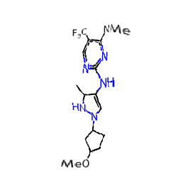 CNc1nc(NC2=CN(C3CCC(OC)C3)NC2C)ncc1C(F)(F)F